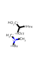 CCCCCCCCC(CCCCCC)C(=O)O.CCCCN(C)C